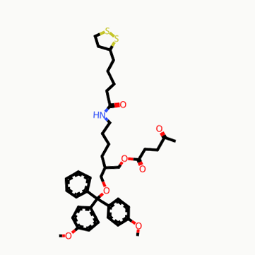 COc1ccc(C(OCC(CCCCNC(=O)CCCCC2CCSS2)COC(=O)CCC(C)=O)(c2ccccc2)c2ccc(OC)cc2)cc1